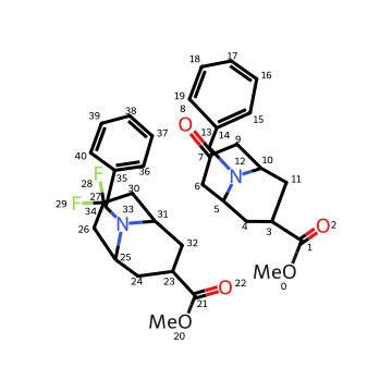 COC(=O)C1CC2CC(=O)CC(C1)N2Cc1ccccc1.COC(=O)C1CC2CC(F)(F)CC(C1)N2Cc1ccccc1